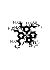 CCC(C)c1cc(C(C)CC)cc([Si](c2ccccc2)(c2cc(C(C)CC)cc(C(C)CC)c2)[C]2([Ti+3])C(C)=C(C)C(C)=C2C)c1.[Cl-].[Cl-].[Cl-]